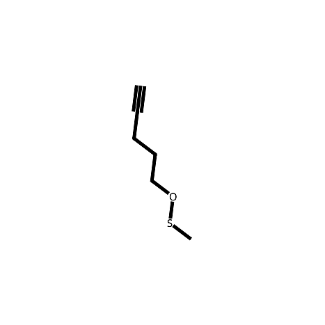 C#CCCCOSC